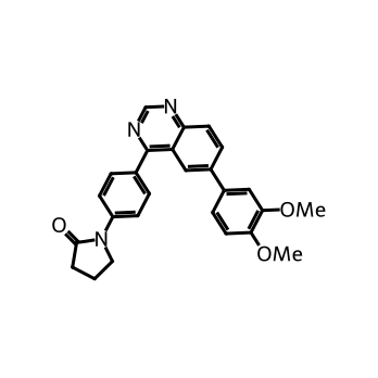 COc1ccc(-c2ccc3ncnc(-c4ccc(N5CCCC5=O)cc4)c3c2)cc1OC